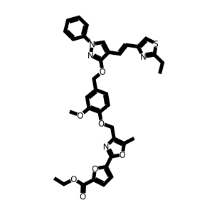 CCOC(=O)c1ccc(-c2nc(COc3ccc(COc4nn(-c5ccccc5)cc4C=Cc4csc(CC)n4)cc3OC)c(C)o2)o1